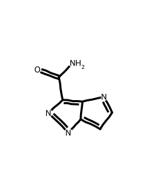 NC(=O)C1=C2N=CC=C2N=N1